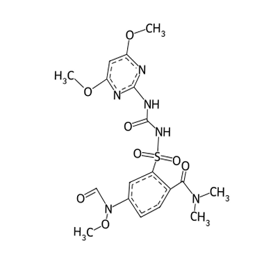 COc1cc(OC)nc(NC(=O)NS(=O)(=O)c2cc(N(C=O)OC)ccc2C(=O)N(C)C)n1